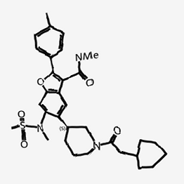 CNC(=O)c1c(-c2ccc(C)cc2)oc2cc(N(C)S(C)(=O)=O)c([C@@H]3CCCN(C(=O)CC4CCCCC4)C3)cc12